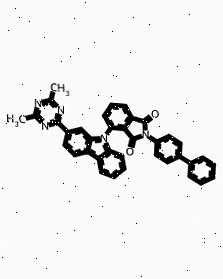 Cc1nc(C)nc(-c2ccc3c4ccccc4n(-c4cccc5c4C(=O)N(c4ccc(-c6ccccc6)cc4)C5=O)c3c2)n1